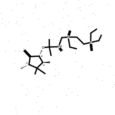 C=C1[C@@H](C)C(C)(C)[C@H](C)[C@H]1OC(C)(C)[PH](=C)CP(=C)(CC)CCP(=C)(CC)CC